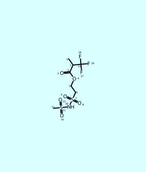 CC(C(=O)OCCS(=O)(=O)NS(C)(=O)=O)C(F)(F)F